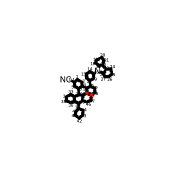 N#Cc1ccc(-c2ccccc2-c2cccc(-n3c4ccccc4c4ccccc43)c2)c(-c2c3ccccc3c(-c3ccccc3)c3ccccc23)c1